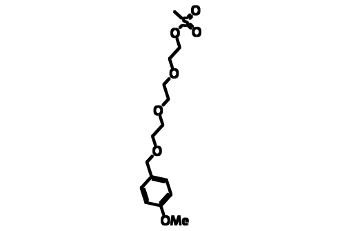 COc1ccc(COCCOCCOCCOS(C)(=O)=O)cc1